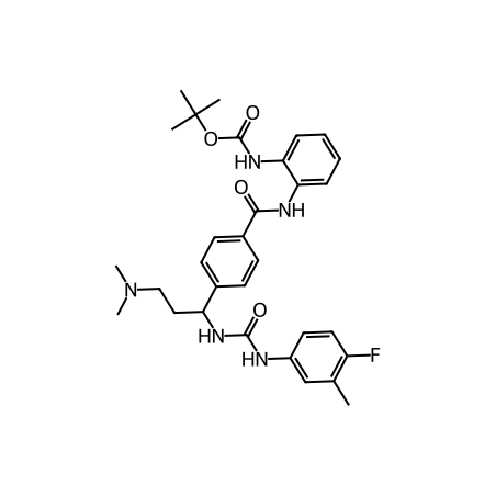 Cc1cc(NC(=O)NC(CCN(C)C)c2ccc(C(=O)Nc3ccccc3NC(=O)OC(C)(C)C)cc2)ccc1F